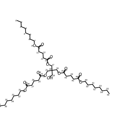 CCCCCCCCOC(=O)CCCC(=O)OCC(CO)(COC(=O)CCCC(=O)OCCCCCCCC)COC(=O)CCCC(=O)OCCCCCCCC